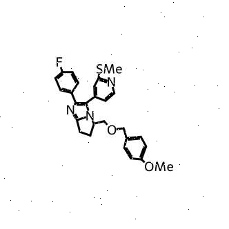 COc1ccc(COCC2CCc3nc(-c4ccc(F)cc4)c(-c4ccnc(SC)c4)n32)cc1